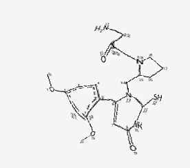 COc1ccc(C2=CC(=O)NC(S)N2CC2CCCN2C(=O)CN)c(OC)c1